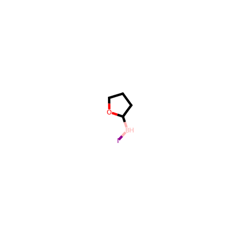 IBC1CCCO1